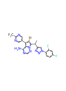 CC(c1cn(-c2ccc(F)cc2F)nn1)c1c(Br)c(-c2cnc(C(F)(F)F)nc2)c2c(N)ncnn12